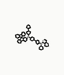 C1=CCC(N(c2ccc(C3=CC=C(N(c4ccc(-c5ccccc5)cc4)c4ccc5c(c4)C4(c6ccccc6-c6ccccc64)c4ccccc4-5)CC3)cc2)C2CC=CC3=C2C=CCC3)C=C1